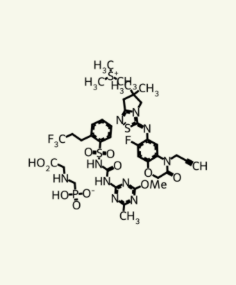 C#CCN1C(=O)COc2cc(F)c(/N=c3\snc4n3CC(C)(C)C4)cc21.COc1nc(C)nc(NC(=O)NS(=O)(=O)c2ccccc2CCC(F)(F)F)n1.C[S+](C)C.O=C(O)CNCP(=O)([O-])O